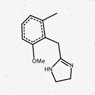 COc1cccc(C)c1CC1=NCCN1